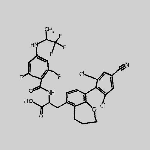 CC(Nc1cc(F)c(C(=O)NC(Cc2ccc(-c3c(Cl)cc(C#N)cc3Cl)c3c2CCCO3)C(=O)O)c(F)c1)C(F)(F)F